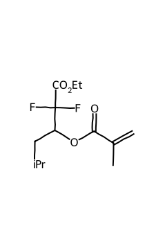 C=C(C)C(=O)OC(CC(C)C)C(F)(F)C(=O)OCC